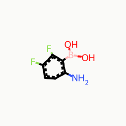 Nc1ccc(F)c(F)c1B(O)O